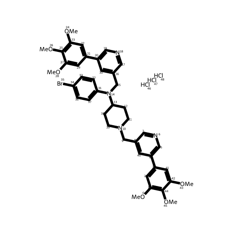 COc1cc(-c2cncc(CN3CCC(N(Cc4cncc(-c5cc(OC)c(OC)c(OC)c5)c4)c4ccc(Br)cc4)CC3)c2)cc(OC)c1OC.Cl.Cl.Cl